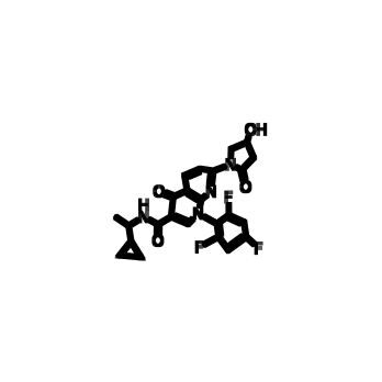 CC(NC(=O)c1cn(-c2c(F)cc(F)cc2F)c2nc(N3CC(O)CC3=O)ccc2c1=O)C1CC1